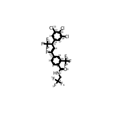 O=C(NCC(F)(F)F)c1ccc(C(F)=CC(c2cc(Cl)c(Cl)c(Cl)c2)C(F)(F)F)cc1C(F)(F)F